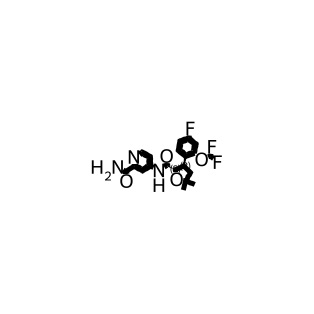 CC1(C)C[C@H](c2ccc(F)cc2OC(F)F)[C@@H](C(=O)Nc2ccnc(C(N)=O)c2)O1